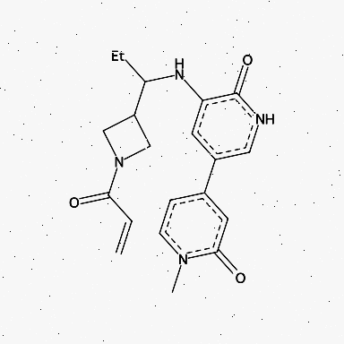 C=CC(=O)N1CC(C(CC)Nc2cc(-c3ccn(C)c(=O)c3)c[nH]c2=O)C1